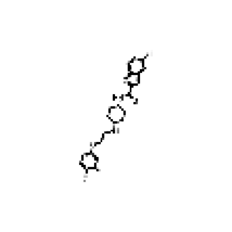 O=C(N[C@H]1CC[C@@H](NCCOc2ccc(Cl)c(F)c2)CC1)c1cc2cc(Cl)ccc2o1